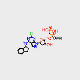 COP(=O)(CP(=O)(O)O)OC[C@H]1O[C@@H](n2ncc3c(N(C)[C@H]4CCc5ccccc54)nc(Cl)nc32)C[C@@H]1O